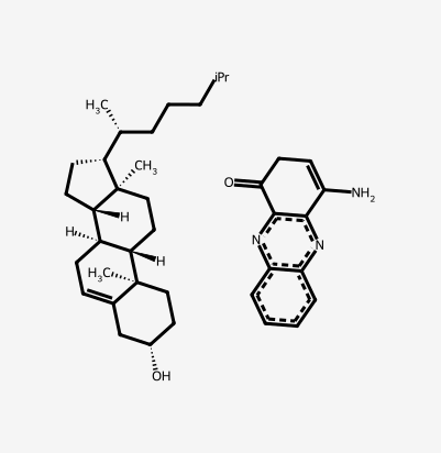 CC(C)CCC[C@@H](C)[C@H]1CC[C@H]2[C@@H]3CC=C4C[C@@H](O)CC[C@]4(C)[C@H]3CC[C@]12C.NC1=CCC(=O)c2nc3ccccc3nc21